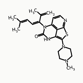 C=C(C)/C(=C\C=C(C)C)N1C(=O)Nc2c(N3CCN(C)CC3)sc3nccc1c23